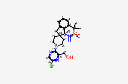 CC1(C)c2cccc3c2[C@@H](N[S+]1[O-])C1(CCN(c2ncc(Br)nc2CO)CC1)C3